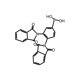 O=C1c2ccccc2C(=O)N1c1ccc(B(O)O)cc1N1C(=O)c2ccccc2C1=O